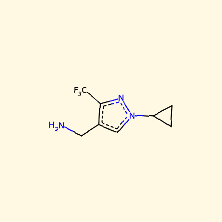 NCc1cn(C2CC2)nc1C(F)(F)F